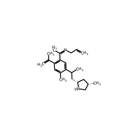 C=CC/N=C(/C)c1cc(C(C)C[C@@H]2C[C@H](C)CN2)c(C)cc1C(=C)C